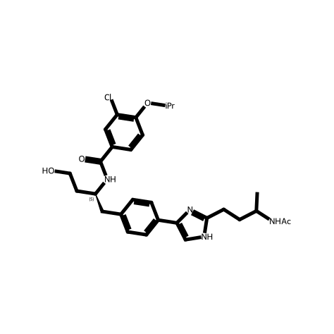 CC(=O)NC(C)CCc1nc(-c2ccc(C[C@@H](CCO)NC(=O)c3ccc(OC(C)C)c(Cl)c3)cc2)c[nH]1